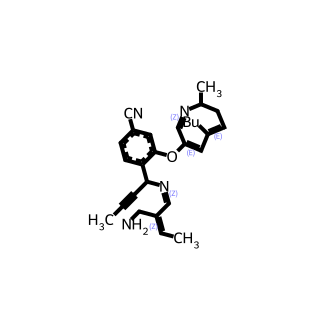 CC#CC(/N=C\C(=C/C)CN)c1ccc(C#N)cc1OC1=C/C(C(C)CC)=C/CC(C)/N=C\1